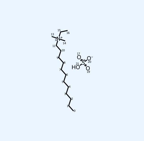 CCCCCCCCCCCC[N+](C)(C)CC.O=S(=O)([O-])O